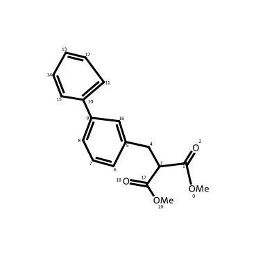 COC(=O)C(Cc1cccc(-c2ccccc2)c1)C(=O)OC